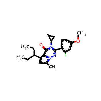 CCC(CC)c1cc(C)n2nc(-c3ccc(OC)cc3F)n(C3CC3)c(=O)c12